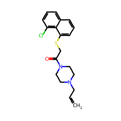 C=CCN1CCN(C(=O)CSc2cccc3cccc(Cl)c23)CC1